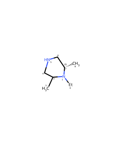 CCN1C(C)CNC[C@@H]1C